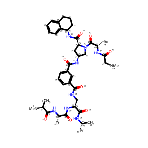 CC[C@H](NC(=O)[C@H](C)NC)C(=O)N[C@@H](CNC(=O)c1cccc(C(=O)N[C@H]2C[C@@H](C(=O)N[C@@H]3CCCc4ccccc43)N(C(=O)[C@@H](NC(=O)CNC)C(C)(C)C)C2)c1)C(=O)N[C@H](C)C(C)C